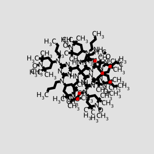 CCCCN(c1nc(C(NCCCN)C(NCCCN)(c2nc(N(CCCC)C3CC(C)(C)N(OC)C(C)(C)C3)nc(N(CCCC)C3CC(C)(C)N(OC)C(C)(C)C3)n2)c2nc(N(CCCC)C3CC(C)(C)N(OC)C(C)(C)C3)nc(N(CCCC)C3CC(C)(C)N(OC)C(C)(C)C3)n2)nc(N(CCCC)C2CC(C)(C)N(OC)C(C)(C)C2)n1)C1CC(C)(C)N(OC)C(C)(C)C1